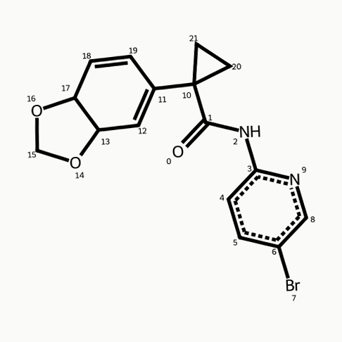 O=C(Nc1ccc(Br)cn1)C1(C2=CC3OCOC3C=C2)CC1